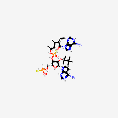 C=C[C@@H]1[C@H](C)[C@@H]([C@H](C)OP(=O)(S)O[C@H]2C(O[Si](C)(C)C(C)(C)C)[C@H](n3ccc4c(N)ncnc43)O[C@@H]2COP(=O)(O)S)O[C@H]1n1cnc2c(N)ncnc21